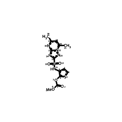 COC(=O)Oc1sccc1NS(=O)(=O)c1nc2nc(C)cc(C)n2n1